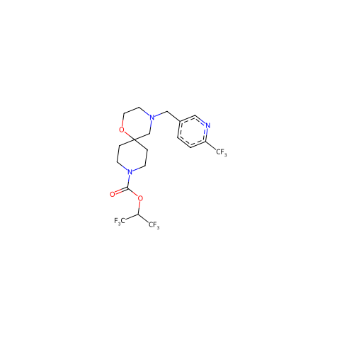 O=C(OC(C(F)(F)F)C(F)(F)F)N1CCC2(CC1)CN(Cc1ccc(C(F)(F)F)nc1)CCO2